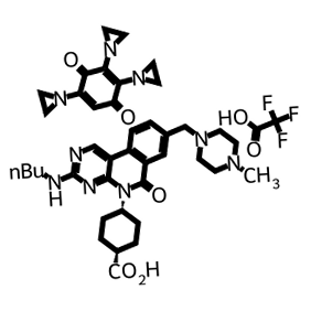 CCCCNc1ncc2c3ccc(CN4CCN(C)CC4)cc3c(=O)n([C@H]3CC[C@H](C(=O)O)CC3)c2n1.O=C(O)C(F)(F)F.O=C1C=C(N2CC2)C(=O)C(N2CC2)=C1N1CC1